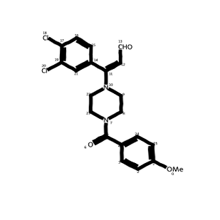 COc1ccc(C(=O)N2CCN(C(=CC=O)c3ccc(Cl)c(Cl)c3)CC2)cc1